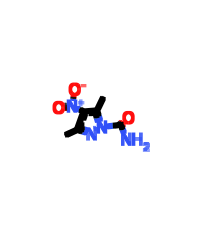 Cc1nn(C(N)=O)c(C)c1[N+](=O)[O-]